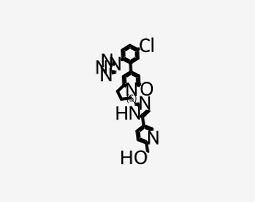 O=c1cc(-c2cc(Cl)ccc2-n2cnnn2)cc2n1[C@H](c1ncc(-c3ccc(CO)nc3)[nH]1)CC2